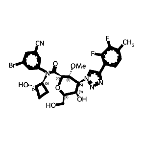 CO[C@@H]1[C@@H](n2cc(-c3ccc(C)c(F)c3F)nn2)[C@@H](O)[C@@H](CO)O[C@H]1C(=O)N(c1cc(Br)cc(C#N)c1)[C@H]1CC[C@@H]1O